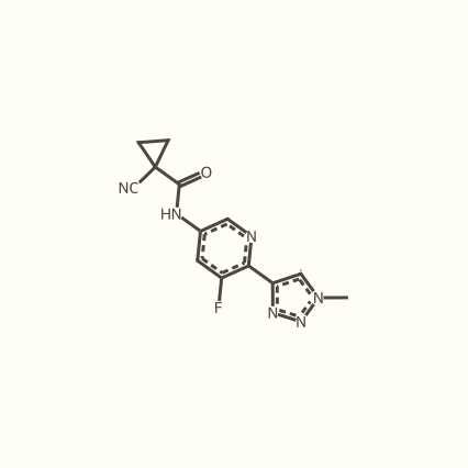 Cn1[c]c(-c2ncc(NC(=O)C3(C#N)CC3)cc2F)nn1